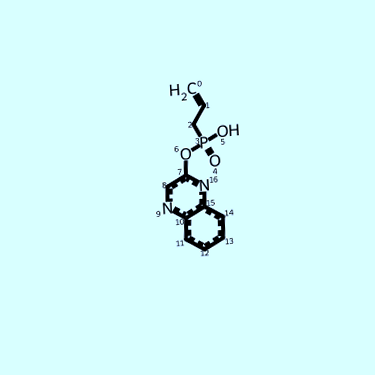 C=CCP(=O)(O)Oc1cnc2ccccc2n1